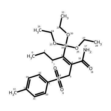 CCCC(=C(CS(=O)(=O)c1ccc(C)cc1)C(N)=O)[Si](OCC)(OCC)OCC